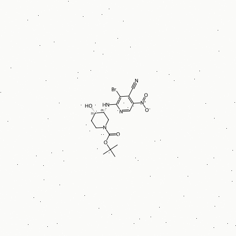 CC(C)(C)OC(=O)N1CC[C@H](O)[C@H](Nc2ncc([N+](=O)[O-])c(C#N)c2Br)C1